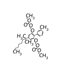 CCCCCCC(C)(C)c1cc(OCOC(=O)OCC)c(-c2cccc(C)c2)c(OCOC(=O)OCC)c1